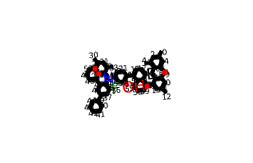 Cc1cc(C)c(B(c2c(C)cc(C)cc2C)c2ccc(-c3ccc(N(c4c(C)cc(C)cc4C)c4c(F)cc(-c5ccccc5)cc4-c4ccccc4)cc3O)c3ccccc23)c(C)c1